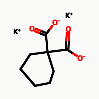 O=C([O-])C1(C(=O)[O-])CCCCC1.[K+].[K+]